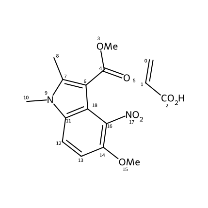 C=CC(=O)O.COC(=O)c1c(C)n(C)c2ccc(OC)c([N+](=O)[O-])c12